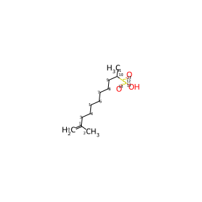 C=C(C)CCCCCCCC(C)S(=O)(=O)O